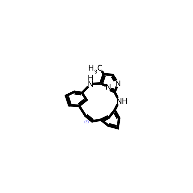 Cc1cnc2nc1Nc1cccc(c1)/C=C\c1cccc(c1)N2